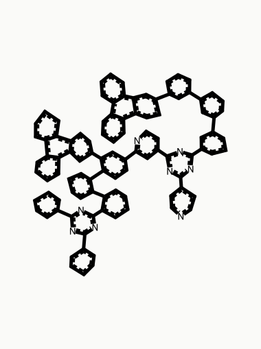 c1ccc(-c2nc(-c3ccccc3)nc(-c3ccccc3-c3ccccc3-c3ccc(-c4cc(-c5nc(-c6ccncc6)nc(-c6cccc(-c7cccc(-c8cccc(-c9ccc%10c%11ccccc%11c%11ccccc%11c%10c9)c8)c7)c6)n5)ccn4)cc3-c3ccc4c5ccccc5c5ccccc5c4c3)n2)cc1